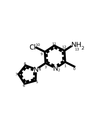 Cc1nc(-n2cccc2)c(Cl)cc1N